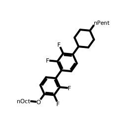 CCCCCCCCOc1ccc(-c2ccc(C3CCC(CCCCC)CC3)c(F)c2F)c(F)c1F